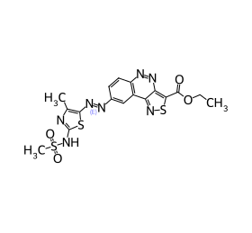 CCOC(=O)c1snc2c1nnc1ccc(/N=N/c3sc(NS(C)(=O)=O)nc3C)cc12